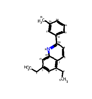 CCc1cc(CC)c2ccc(-c3cccc(C)c3)nc2c1